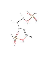 CC(=CCC(C)[C@H](C)OS(C)(=O)=O)OS(C)(=O)=O